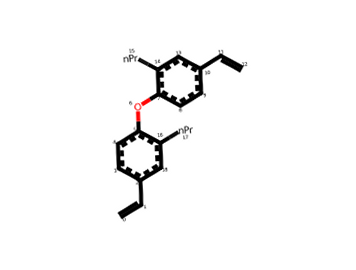 C=Cc1ccc(Oc2ccc(C=C)cc2CCC)c(CCC)c1